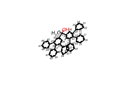 CC(O)(c1cc(-c2ccccc2)c(-c2ccccc2)c(-c2ccccc2)c1)c1cc(-c2ccccc2)c(-c2ccccc2)c(-c2ccccc2)c1